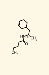 CCCCC(=O)N[C@H](C)CC1CC=CCC1